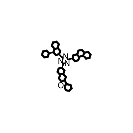 c1ccc(-c2cc(-c3nc(-c4ccc5cc6oc7ccccc7c6cc5c4)nc(-c4ccc5c(ccc6ccccc65)c4)n3)cc3ccccc23)cc1